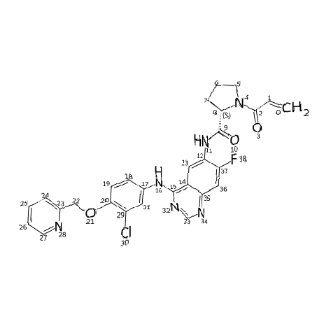 C=CC(=O)N1CCC[C@H]1C(=O)Nc1cc2c(Nc3ccc(OCc4ccccn4)c(Cl)c3)ncnc2cc1F